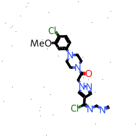 C=NC/N=C(/Cl)c1cnn(CC(=O)N2CCN(c3ccc(Cl)c(OC)c3)CC2)c1